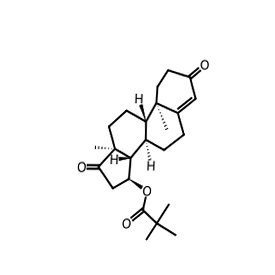 CC(C)(C)C(=O)O[C@H]1CC(=O)[C@@]2(C)CC[C@H]3[C@@H](CCC4=CC(=O)CC[C@@]43C)[C@H]12